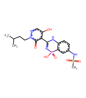 CC(CCn1ncc(O)c(C2=NP(=O)(O)c3cc(NS(C)(=O)=O)ccc3N2)c1=O)C(F)(F)F